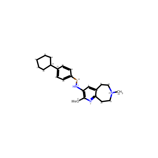 COc1nc2c(cc1NSc1ccc(C3CCCCC3)cc1)CCN(C)CC2